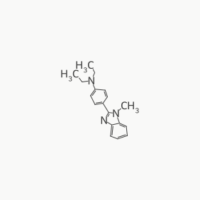 CCN(CC)c1ccc(-c2nc3ccccc3n2C)cc1